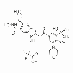 CCOc1cc2c(cc1C(=O)NC)C(=N)N(CC(=O)c1cc(N3CCOCC3)c(O)c(C(C)(C)C)c1)C2.O=C(O)C(F)(F)F